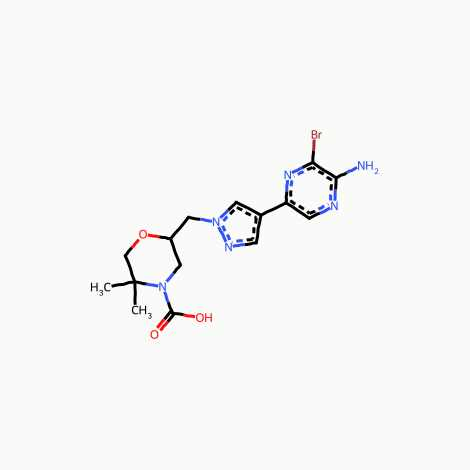 CC1(C)COC(Cn2cc(-c3cnc(N)c(Br)n3)cn2)CN1C(=O)O